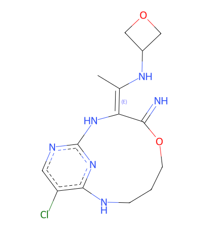 C/C(NC1COC1)=C1\Nc2ncc(Cl)c(n2)NCCCOC1=N